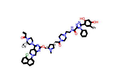 C=CC(=O)N1CCN(c2nc(OC[C@@H]3C[C@H](CC(=O)N4CCN(CCNC(=O)c5nnc(-c6cc(C(C)C)c(O)cc6O)n5-c5ccccc5)CC4)CN3C)nc3c2CCN(c2cccc4cccc(Cl)c24)C3)C[C@@H]1CC#N